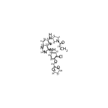 C=CC(=O)N1CCC(Nc2ccc3ncnc(Nc4ccc(OCC5OCCCO5)c(Cl)c4)c3n2)C1